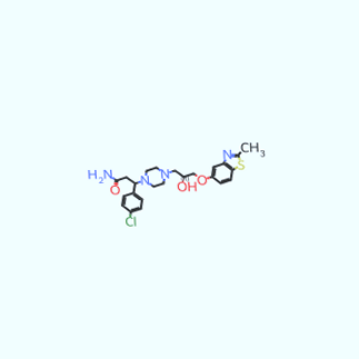 Cc1nc2cc(OC[C@H](O)CN3CCN(C(CC(N)=O)c4ccc(Cl)cc4)CC3)ccc2s1